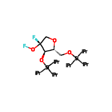 CC(C)[Si](OC[C@H]1OC[C@@](F)(OF)[C@@H]1O[Si](C(C)C)(C(C)C)C(C)C)(C(C)C)C(C)C